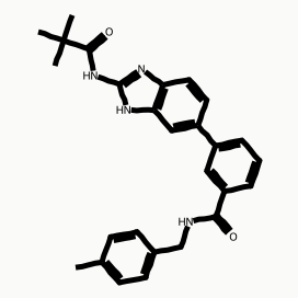 Cc1ccc(CNC(=O)c2cccc(-c3ccc4nc(NC(=O)C(C)(C)C)[nH]c4c3)c2)cc1